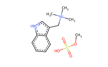 COS(=O)(=O)O.C[N+](C)(C)Cc1c[nH]c2ccccc12